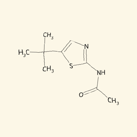 CC(=O)Nc1ncc(C(C)(C)C)s1